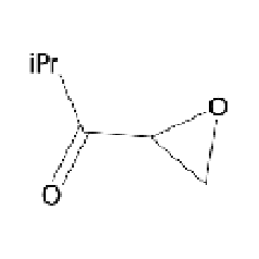 CC(C)C(=O)C1CO1